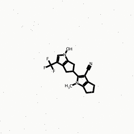 Cn1c2c(c(C#N)c1C1Cc3c(C(F)(F)F)cn(O)c3C1)CCC2